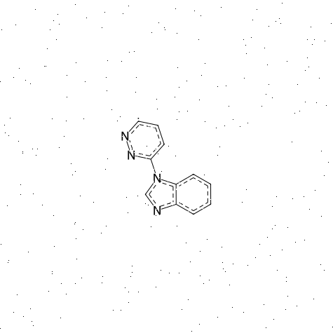 [c]1ccc(-n2cnc3ccccc32)nn1